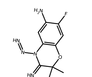 CC1(C)Oc2cc(F)c(N)cc2N(N=N)C1=N